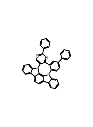 c1ccc(-c2ccc3c(c2)c2nc(-c4ccccc4)ncc2n2c4ccccc4c4ccc5c6ccccc6n3c5c42)cc1